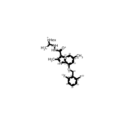 CCCCCCC(C)NNC(=O)c1c(C)nc2c(OCc3c(F)cccc3F)cc(C)cn12